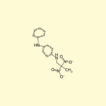 CC(CNc1ccc(Nc2ccccc2)cc1)([N+](=O)[O-])[N+](=O)[O-]